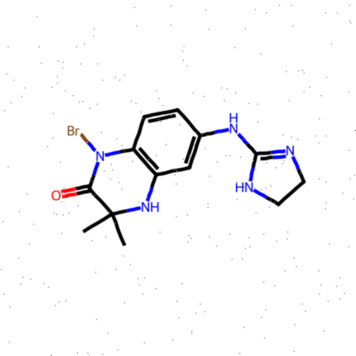 CC1(C)Nc2cc(NC3=NCCN3)ccc2N(Br)C1=O